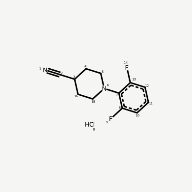 Cl.N#CC1CCN(c2c(F)cccc2F)CC1